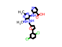 CNc1nc(C)nc(Nc2cnccc2C(=O)O)c1NCc1ccc(-c2cc(Cl)ccc2Cl)o1